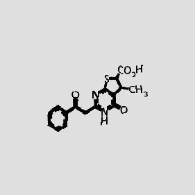 CC1c2c(nc(CC(=O)c3ccccc3)[nH]c2=O)SC1C(=O)O